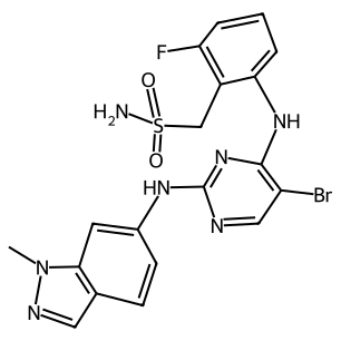 Cn1ncc2ccc(Nc3ncc(Br)c(Nc4cccc(F)c4CS(N)(=O)=O)n3)cc21